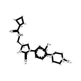 O=C(NC[C@H]1CN(c2ccc(N3CC[S+]([O-])CC3)c(F)c2)C(=O)O1)C1CCC1